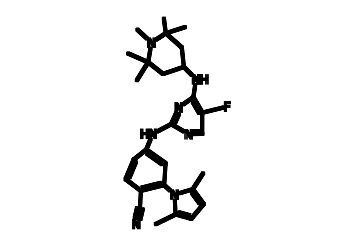 Cc1ccc(C)n1-c1cc(Nc2ncc(F)c(NC3CC(C)(C)N(C)C(C)(C)C3)n2)ccc1C#N